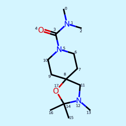 CN(C)C(=O)N1CCC2(CC1)CN(C)C(C)(C)O2